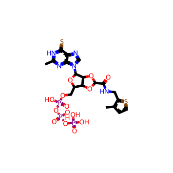 Cc1nc2c(ncn2C2OC(COP(=O)(O)OP(=O)(O)OP(=O)(O)O)C3OC(C(=O)NCc4sccc4C)OC32)c(=S)[nH]1